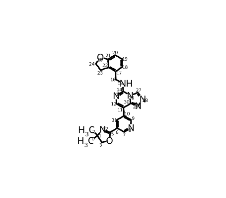 CC1(C)COC(c2cncc(-c3cnc(NCc4cccc5c4CCO5)n4cnnc34)c2)=N1